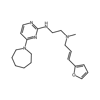 CN(CC=Cc1ccco1)CCNc1nccc(N2CCCCCC2)n1